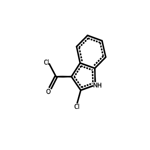 O=C(Cl)c1c(Cl)[nH]c2ccccc12